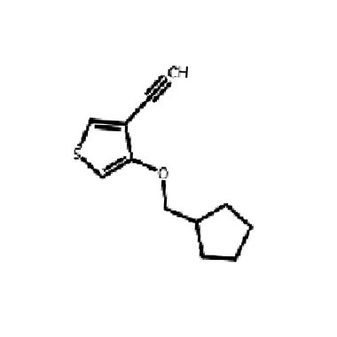 C#Cc1cscc1OCC1CCCC1